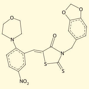 O=C1C(=Cc2cc([N+](=O)[O-])ccc2N2CCOCC2)SC(=S)N1Cc1ccc2c(c1)OCO2